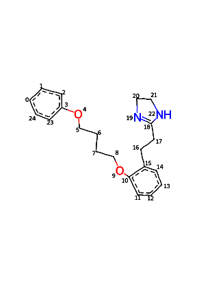 c1ccc(OCCCCOc2ccccc2CCC2=NCCN2)cc1